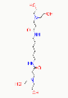 O=C(CCN(CCO)CCO)NCCCCCCNC(=O)CCN(CCO)CCO